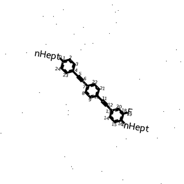 CCCCCCCc1ccc(C#Cc2ccc(C#Cc3ccc(CCCCCCC)c(F)c3)cc2)cc1